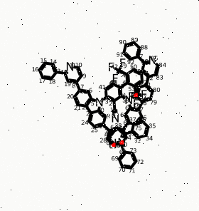 N#Cc1c(-n2c3cc(-c4ccnc(-c5ccccc5)c4)ccc3c3ccc(-c4ccnc(-c5ccccc5)c4)cc32)ccc(-c2c(C(F)(F)F)cccc2C(F)(F)F)c1-n1c2cc(-c3ccnc(-c4ccccc4)c3)ccc2c2ccc(-c3ccnc(-c4ccccc4)c3)cc21